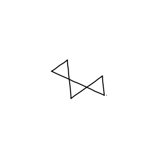 [CH]1CC12CC21CC1